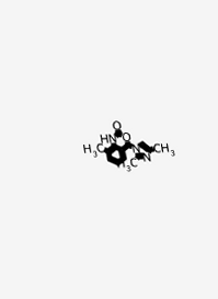 Cc1cn(C2OC(=O)Nc3c(C)cccc32)c(C)n1